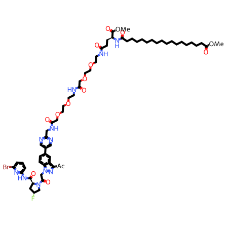 COC(=O)CCCCCCCCCCCCCCCCC(=O)N[C@@H](CCC(=O)NCCOCCOCC(=O)NCCOCCOCC(=O)NCc1ncc(-c2ccc3c(c2)c(C(C)=O)nn3CC(=O)N2C[C@H](F)C[C@H]2C(=O)Nc2cccc(Br)n2)cn1)C(=O)OC